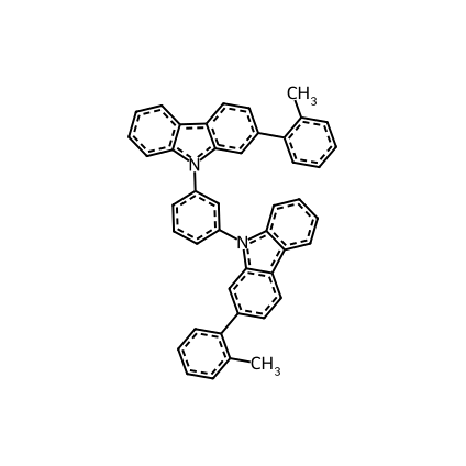 Cc1ccccc1-c1ccc2c3ccccc3n(-c3cccc(-n4c5ccccc5c5ccc(-c6ccccc6C)cc54)c3)c2c1